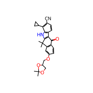 CC1(C)OCC(COc2ccc3c(c2)C(C)(C)c2[nH]c4c(C5CC5)c(C#N)ccc4c2C3=O)O1